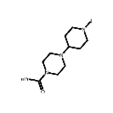 CCCC(=O)N1CCN(C2CCN(I)CC2)CC1